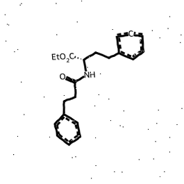 CCOC(=O)[C@H](CCc1ccccc1)NC(=O)CCc1ccccc1